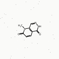 Cn1c(=O)ccc2c(=O)[nH]ncc21